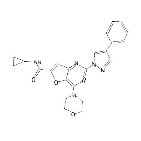 O=C(NC1CC1)c1cc2nc(-n3cc(-c4ccccc4)cn3)nc(N3CCOCC3)c2o1